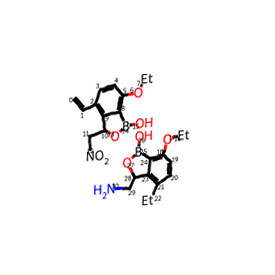 C=Cc1ccc(OCC)c2c1C(C[N+](=O)[O-])OB2O.CCOc1ccc(CC)c2c1B(O)OC2CN